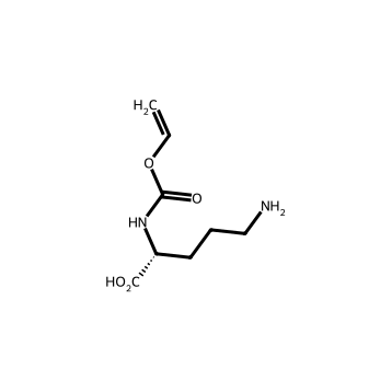 C=COC(=O)N[C@H](CCCN)C(=O)O